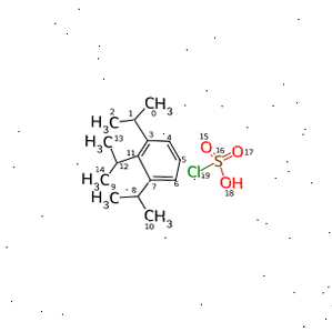 CC(C)c1cccc(C(C)C)c1C(C)C.O=S(=O)(O)Cl